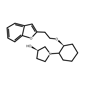 O[C@@H]1CCN(C2CCCC[C@@H]2OCCc2cc3ccccc3o2)C1